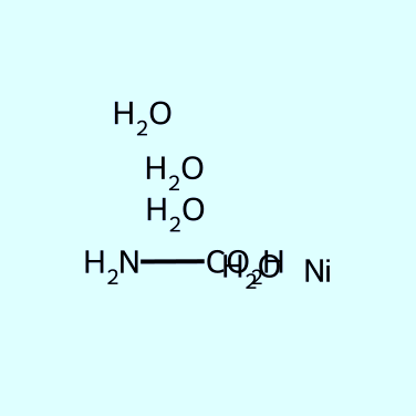 NC(=O)O.O.O.O.O.[Ni]